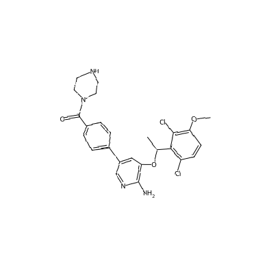 COc1ccc(Cl)c(C(C)Oc2cc(-c3ccc(C(=O)N4CCNCC4)cc3)cnc2N)c1Cl